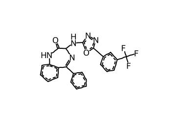 O=C1Nc2ccccc2C(c2ccccc2)=NC1Nc1nnc(-c2cccc(C(F)(F)F)c2)o1